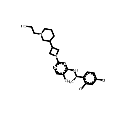 C[C@@H](Nc1nc(N2CC(C3CCCN(CCO)C3)C2)ncc1Cl)c1ccc(Cl)cc1Cl